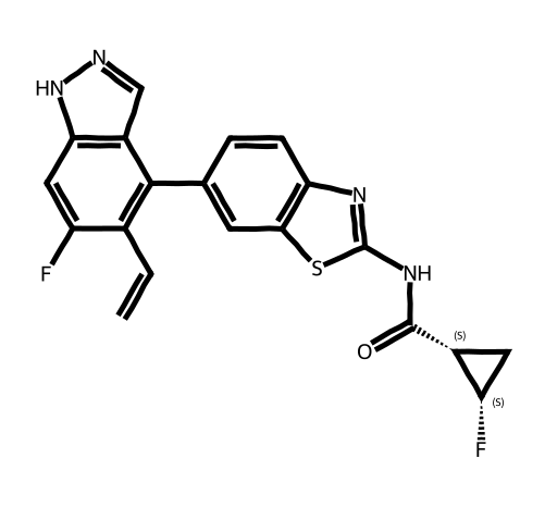 C=Cc1c(F)cc2[nH]ncc2c1-c1ccc2nc(NC(=O)[C@@H]3C[C@@H]3F)sc2c1